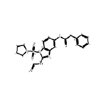 O=CNc1nc2cc(OC(=O)Cc3ccccc3)ccc2n1S(=O)(=O)N1CCCC1